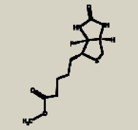 COC(=O)CCCC[C@@H]1SC[C@@H]2NC(=O)N[C@@]21F